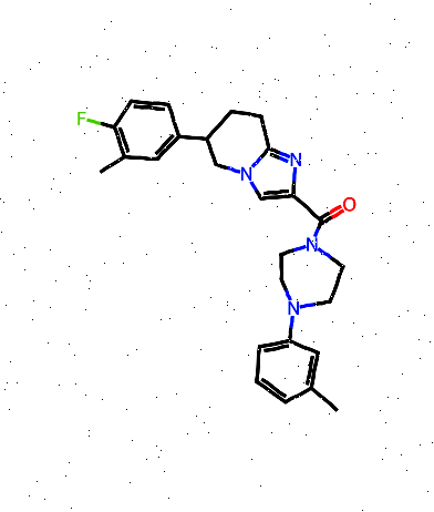 Cc1cccc(N2CCN(C(=O)c3cn4c(n3)CCC(c3ccc(F)c(C)c3)C4)CC2)c1